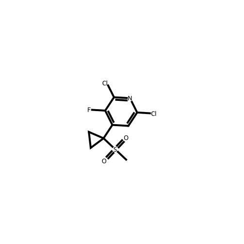 CS(=O)(=O)C1(c2cc(Cl)nc(Cl)c2F)CC1